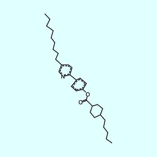 CCCCCCCCCc1ccc(-c2ccc(OC(=O)C3CCC(CCCCC)CC3)cc2)nc1